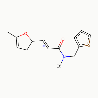 CCN(Cc1cccs1)C(=O)/C=C/C1CC=C(C)O1